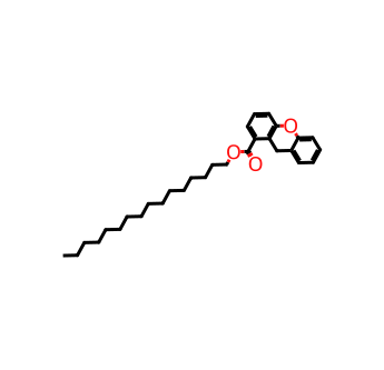 CCCCCCCCCCCCCCCCOC(=O)c1cccc2c1Cc1ccccc1O2